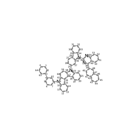 c1ccc(-c2cccc(-n3c4ccccc4c4c5c6ccccc6n(-c6ccc7c8ccccc8n(-c8nc(-c9ccc%10ccccc%10c9)c9ccccc9n8)c7c6)c5ccc43)c2)cc1